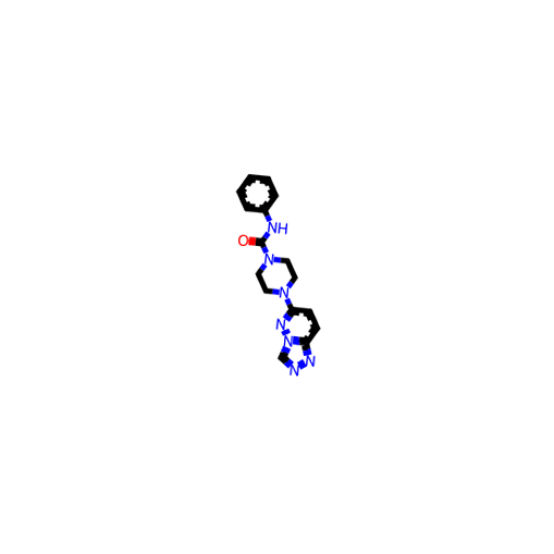 O=C(Nc1ccccc1)N1CCN(c2ccc3nncn3n2)CC1